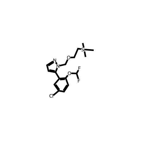 C[Si](C)(C)CCOCn1nccc1-c1cc(Cl)ccc1OC(F)F